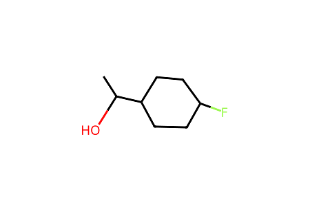 CC(O)C1CCC(F)CC1